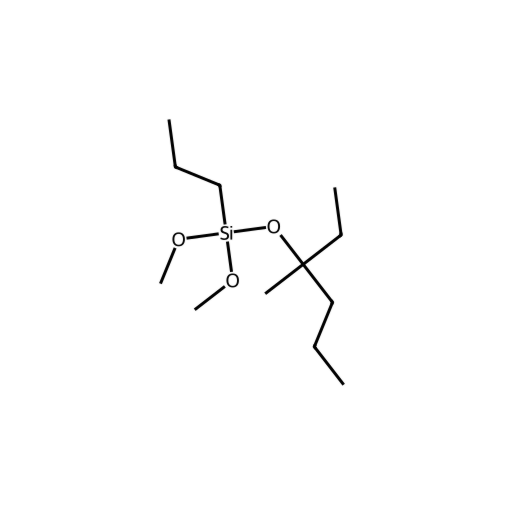 CCCC(C)(CC)O[Si](CCC)(OC)OC